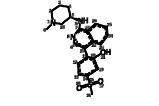 CN1CCC[C@@H](Nc2nnc(-c3ccc(S(C)(=O)=O)cc3O)c3ccccc23)C1